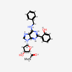 CNC(=O)[C@H]1O[C@@H](n2cnc3c(NCc4ccccc4)nc(-c4ccccc4O)nc32)C[C@@H]1O